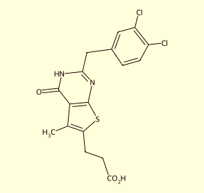 Cc1c(CCC(=O)O)sc2nc(Cc3ccc(Cl)c(Cl)c3)[nH]c(=O)c12